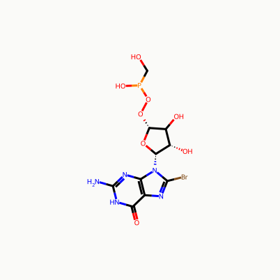 Nc1nc2c(nc(Br)n2[C@@H]2O[C@H](OOP(O)CO)C(O)[C@@H]2O)c(=O)[nH]1